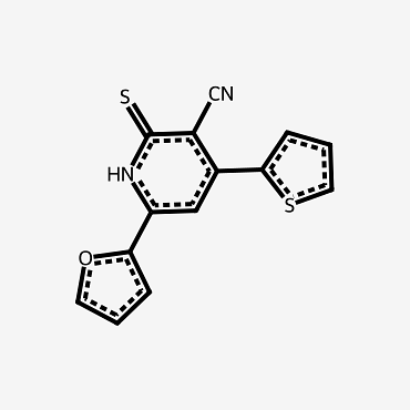 N#Cc1c(-c2cccs2)cc(-c2ccco2)[nH]c1=S